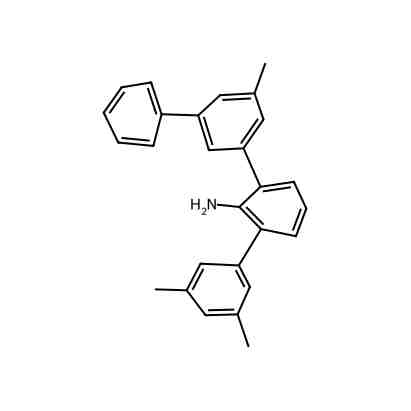 Cc1cc(C)cc(-c2cccc(-c3cc(C)cc(-c4ccccc4)c3)c2N)c1